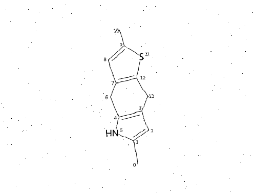 Cc1cc2c([nH]1)Cc1cc(C)sc1C2